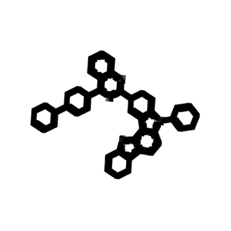 C1=CCCC(C2=CC=C(c3nc(C4C=c5c(n(C6=CCCC=C6)c6ccc7c8c(sc7c56)C=CCC8)=CC4)nc4ccccc34)CC2)=C1